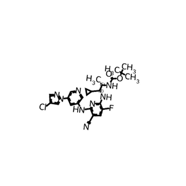 C[C@H](NC(=O)OC(C)(C)C)[C@H](Nc1nc(Nc2cncc(-n3cc(Cl)cn3)c2)c(C#N)cc1F)C1CC1